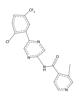 Cc1cnccc1C(=O)Nc1cnc(-c2cc(C(F)(F)F)ccc2Cl)cn1